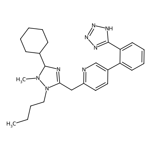 CCCCN1C(Cc2ccc(-c3ccccc3-c3nnn[nH]3)cn2)=NC(C2CCCCC2)N1C